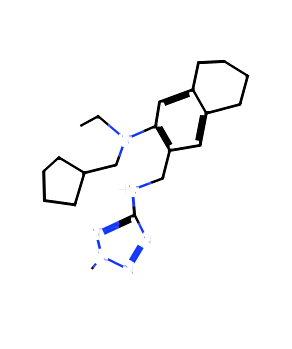 CCN(CC1CCCC1)c1cc2c(cc1CNc1nnn(C)n1)CCCC2